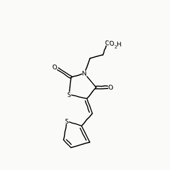 O=C(O)CCN1C(=O)SC(=Cc2cccs2)C1=O